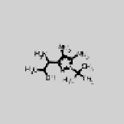 CC(O)C(N)c1nn(C(C)(C)C)c(N)c1N